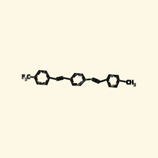 Cc1ccc(C#Cc2ccc(C#Cc3ccc(C(F)(F)F)cc3)cc2)cc1